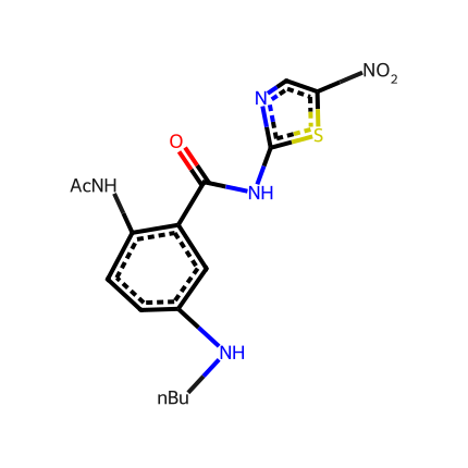 CCCCNc1ccc(NC(C)=O)c(C(=O)Nc2ncc([N+](=O)[O-])s2)c1